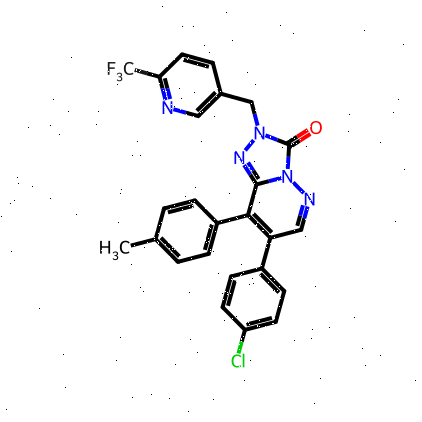 Cc1ccc(-c2c(-c3ccc(Cl)cc3)cnn3c(=O)n(Cc4ccc(C(F)(F)F)nc4)nc23)cc1